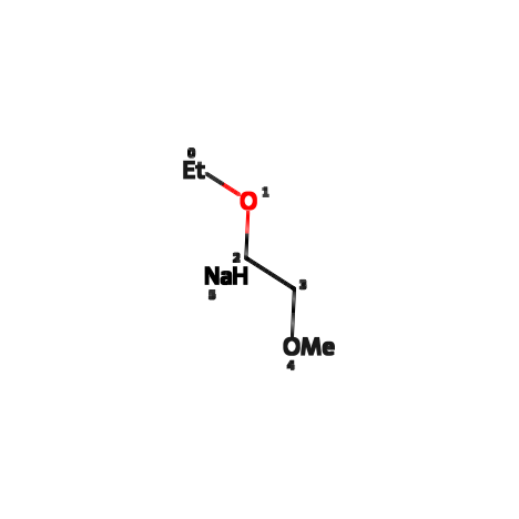 CCOCCOC.[NaH]